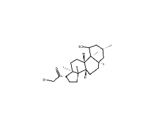 C[C@H]1CC(O)[C@@]2(C)[C@H](CC[C@@H]3[C@@H]4CC[C@H](C(=O)CBr)[C@@]4(C)CC[C@@H]32)C1